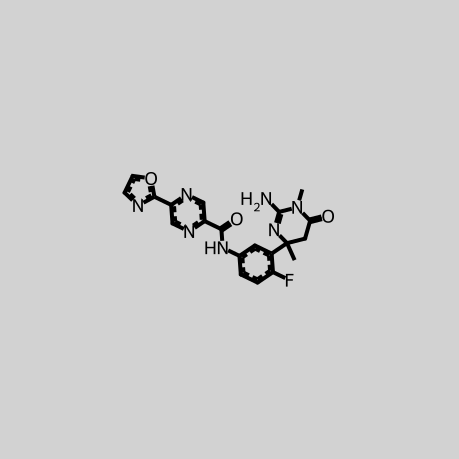 CN1C(=O)CC(C)(c2cc(NC(=O)c3cnc(-c4ncco4)cn3)ccc2F)N=C1N